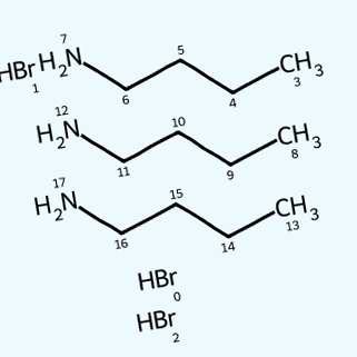 Br.Br.Br.CCCCN.CCCCN.CCCCN